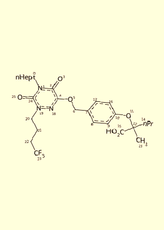 CCCCCCCn1c(=O)c(OCc2ccc(OC(C)(CCC)C(=O)O)cc2)nn(CCCC(F)(F)F)c1=O